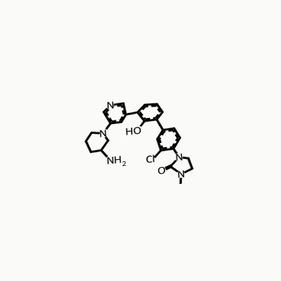 CN1CCN(c2ccc(-c3cccc(-c4cncc(N5CCCC(N)C5)c4)c3O)cc2Cl)C1=O